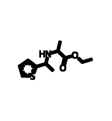 CCOC(=O)C(C)NC(C)c1cccs1